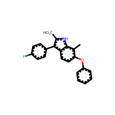 Cc1c(Oc2ccccc2)ccc2c(-c3ccc(F)cc3)c(C(=O)O)[nH]c12